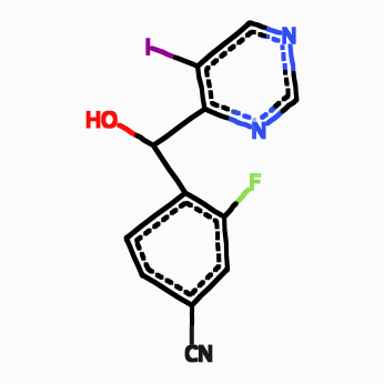 N#Cc1ccc(C(O)c2ncncc2I)c(F)c1